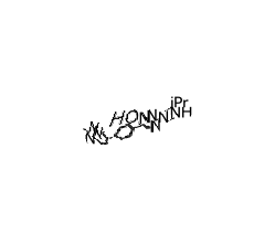 Cc1nc2ccc(-c3ccc(-c4cnc(N5CCNC(C(C)C)C5)nn4)c(O)c3)cn2n1